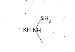 CN[SiH3].[KH]